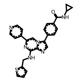 O=C(NC1CC1)c1ccc(-c2cnc3c(NCc4cccs4)nc(-c4ccncc4)cn23)cc1